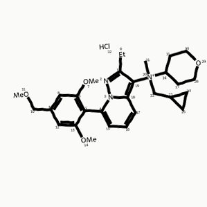 CCc1nn2c(-c3c(OC)cc(COC)cc3OC)cccc2c1[N+](C)(CC1CC1)C1CCOCC1.Cl